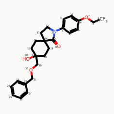 O=C1N(c2ccc(OCC(F)(F)F)cc2)CCC12CCC(O)(COCc1ccccc1)CC2